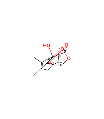 CC1=CCC23OC(=O)CC12C(O)[C@@]1(C)C(=O)OC[C@@]31C